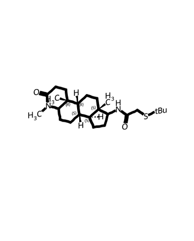 CN1C(=O)CC[C@@]2(C)C1CC[C@@H]1[C@H]2CC[C@]2(C)C(NC(=O)CSC(C)(C)C)CC[C@@H]12